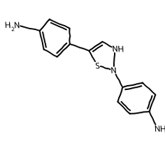 Nc1ccc(C2=CNN(c3ccc(N)cc3)S2)cc1